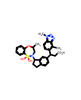 Cc1c(C(CC(=O)O)c2ccc3c(c2)C(N2CC(C)Oc4ccccc4S2(O)O)CC3)ccc2c1nnn2C